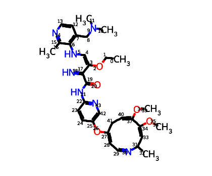 CCO/C(=C/Nc1c(CN(C)C)ccnc1C)C(=N)C(=O)Nc1ccc(O/C2=C/C=N\C(C)/C=C(OC)\C(OC)=C/C2)cn1